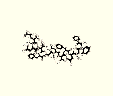 CC(C)CC(C(=O)N(C)C(C(=O)NC(Cc1ccccc1)C(=O)NC(CC(=O)O)C(=O)N(C)[C@@H](Cc1ccccc1)C(=O)N[C@@H](C)C(=O)N1CCCCC1)C(C)C)N(C)C(=O)CNC(=O)C(Cc1ccccc1)N(C)C(=O)C(NC(=O)C(CC(C)C)N(C)C(=O)C(NC(=O)C(C)N)C(C)C)[C@@H](C)O